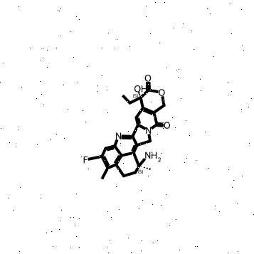 CC[C@@]1(O)C(=O)OCc2c1cc1n(c2=O)Cc2c-1nc1cc(F)c(C)c3c1c2[C@@](C)(N)CC3